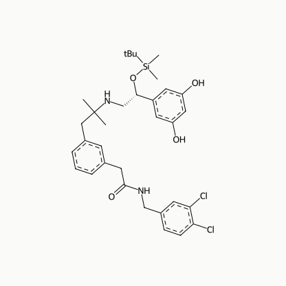 CC(C)(Cc1cccc(CC(=O)NCc2ccc(Cl)c(Cl)c2)c1)NC[C@H](O[Si](C)(C)C(C)(C)C)c1cc(O)cc(O)c1